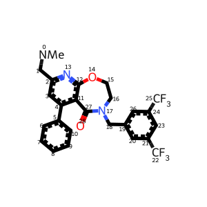 CNCc1cc(-c2ccccc2)c2c(n1)OCCN(Cc1cc(C(F)(F)F)cc(C(F)(F)F)c1)C2=O